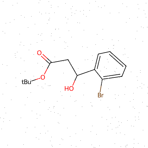 CC(C)(C)OC(=O)CC(O)c1ccccc1Br